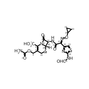 NC(=O)OCC1=C(C(=O)O)N2C(=O)[C@@H](NC(=O)C(=NOC3CC3)c3csc(NC=O)n3)[C@@H]2SC1